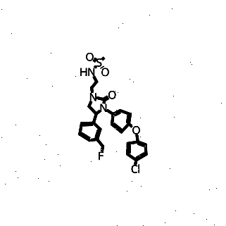 CS(=O)(=O)NCCN1CC(c2cccc(CF)c2)N(c2ccc(Oc3ccc(Cl)cc3)cc2)C1=O